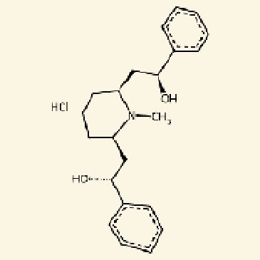 CN1[C@@H](C[C@@H](O)c2ccccc2)CCC[C@H]1C[C@H](O)c1ccccc1.Cl